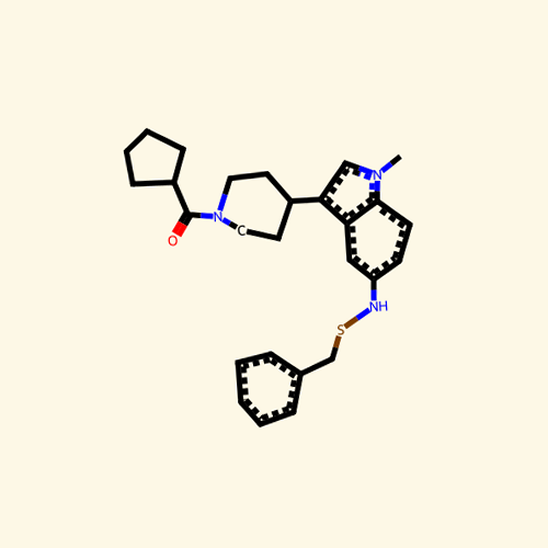 Cn1cc(C2CCN(C(=O)C3CCCC3)CC2)c2cc(NSCc3ccccc3)ccc21